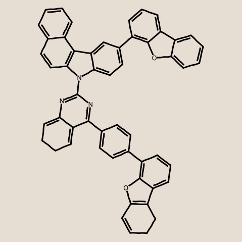 C1=Cc2oc3c(-c4ccc(-c5nc(-n6c7ccc(-c8cccc9c8oc8ccccc89)cc7c7c8ccccc8ccc76)nc6c5=CCCC=6)cc4)cccc3c2CC1